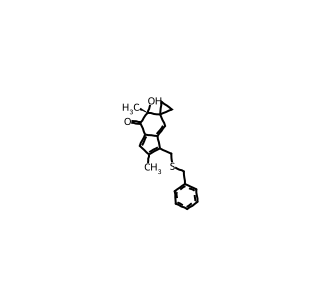 CC1=C(CSCc2ccccc2)C2=CC3(CC3)[C@@](C)(O)C(=O)C2=C1